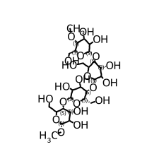 CO[C@@H]1OC(CO)[C@@H](O[C@@H]2O[C@@H](CO)[C@@H](O[C@@H]3OC(CO)[C@@H](O[C@@H]4O[C@@H](CO)[C@@H](OC)C(O)C4O)[C@H](O)C3O)C(O)C2O)[C@H](O)C1O